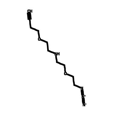 C#CCCOCCNCCOCCN=[N+]=[N-]